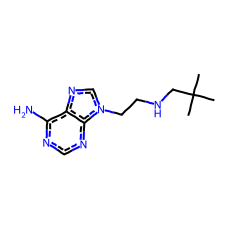 CC(C)(C)CNCCn1cnc2c(N)ncnc21